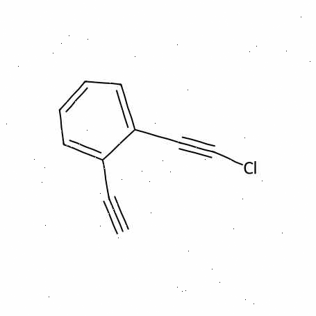 C#Cc1ccccc1C#CCl